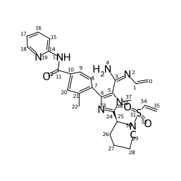 C=C/N=C(/N)c1c(-c2ccc(C(=O)Nc3ccccn3)cc2C)nc([C@@H]2CCCCN2S(=O)(=O)C=C)n1C